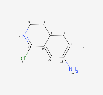 Cc1cc2ccnc(Cl)c2cc1N